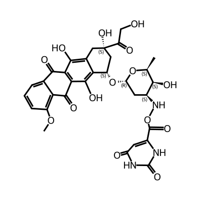 COc1cccc2c1C(=O)c1c(O)c3c(c(O)c1C2=O)C[C@@](O)(C(=O)CO)C[C@@H]3O[C@H]1C[C@H](NOC(=O)c2cc(=O)[nH]c(=O)[nH]2)[C@H](O)[C@H](C)O1